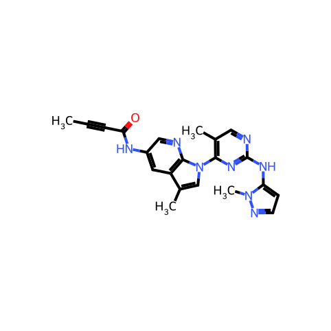 CC#CC(=O)Nc1cnc2c(c1)c(C)cn2-c1nc(Nc2ccnn2C)ncc1C